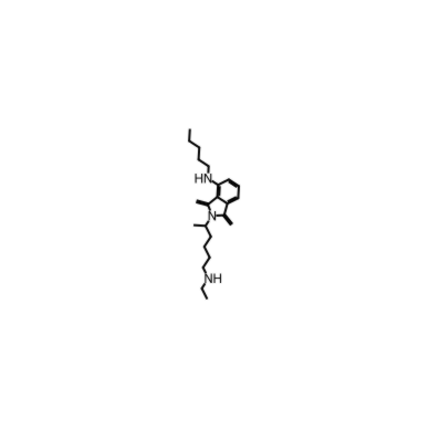 C=c1c2cccc(NCCCCC)c2c(=C)n1C(C)CCCCNCC